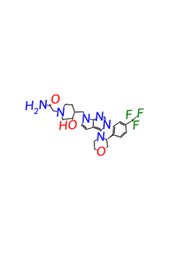 NC(=O)CN1CCC(Cn2ccc3c(N4CCOC[C@@H]4c4ccc(C(F)(F)F)cc4)ncnc32)[C@@H](O)C1